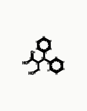 O=C(O)C(CO)N(c1ccccc1)c1ccccc1